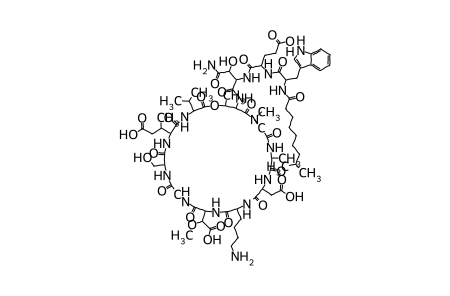 COC(C(=O)O)C1NC(=O)C(CCCCN)NC(=O)C(CC(=O)O)NC(=O)C(C)NC(=O)CN(C)C(=O)C(NC(=O)C(NC(=O)C(CCC(=O)O)NC(=O)C(Cc2c[nH]c3ccccc23)NC(=O)CCCCCCC(C)C)C(O)C(N)=O)C(C)OC(=O)C(C(C)C)NC(=O)C(C(C)CC(=O)O)NC(=O)C(CO)NC(=O)CNC1=O